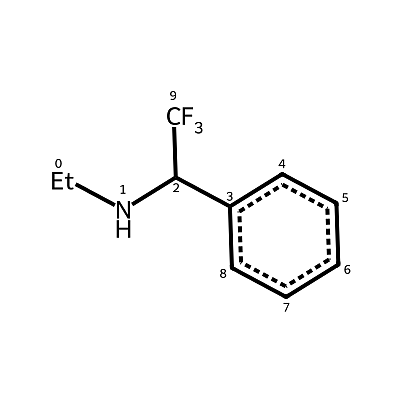 CCNC(c1ccccc1)C(F)(F)F